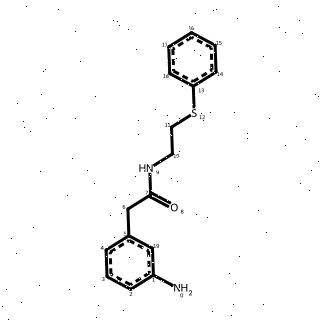 Nc1cccc(CC(=O)NCCSc2ccccc2)c1